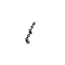 FC(F)(F)c1ccc(-c2ccc(-c3ccc4cc(-c5ccc(-c6ccc7sc8ccccc8c7c6)cc5)cnc4c3)cc2)cc1